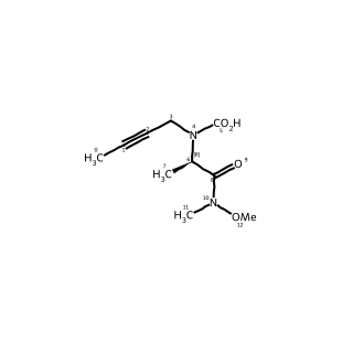 CC#CCN(C(=O)O)[C@H](C)C(=O)N(C)OC